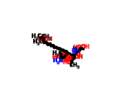 C[C@H]([C@H](O)[C@@H](C)/C=C/C=C/C=C/C=C/C=C/C=C/C=C/[C@@H](C[C@@H]1O[C@](O)(C[C@H](C)O)C[C@H](O)[C@H]1NC(=O)NC[C@H](O)CO)O[C@@H]1O[C@H](C)[C@@H](O)[C@H](N)[C@@H]1O)[C@H](C)O